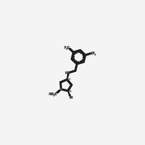 CC[C@@H]1C[C@H](NCc2cc(C(F)(F)F)cc(C(F)(F)F)c2)CN1C(=O)O